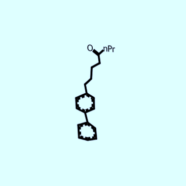 CCCC(=O)CCCCc1ccc(-c2ccccc2)cc1